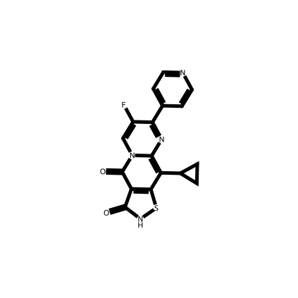 O=c1[nH]sc2c(C3CC3)c3nc(-c4ccncc4)c(F)cn3c(=O)c12